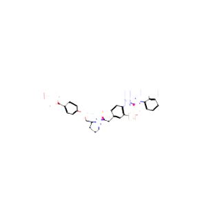 Cc1ccccc1NC(=O)Nc1ccc(CC(=O)N2CCC[C@]2(F)COc2ccc(C(=O)O)cc2)cc1Br